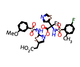 CCC(NS(=O)(=O)c1cc(F)ccc1C)(C(=O)ON1C=C(CC(=O)O)SC1NS(=O)(=O)c1cccc(OC)c1)c1cncs1